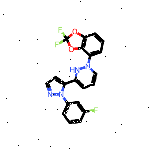 Fc1cccc(-n2nccc2C2=CC=CN(c3cccc4c3OC(F)(F)O4)N2)c1